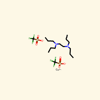 CCCN(CCC)CCN(CCC)CCC.O=S(=O)([O-])C(F)(F)F.O=S(=O)([O-])C(F)(F)F.[Cu+2]